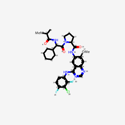 CNC(C)C(=O)NC(C(=O)N1CCCC1C(=O)Nc1cc2c(Nc3ccc(F)c(Cl)c3F)ncnc2cc1OC)C1CCCCC1